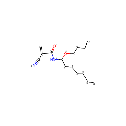 C=C(C#N)C(=O)NC(CCCCCC)OCCCC